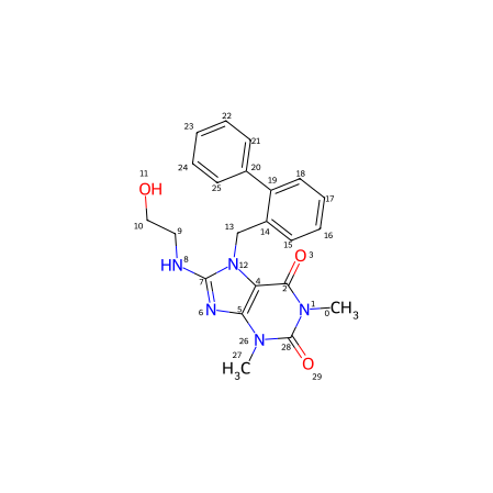 Cn1c(=O)c2c(nc(NCCO)n2Cc2ccccc2-c2ccccc2)n(C)c1=O